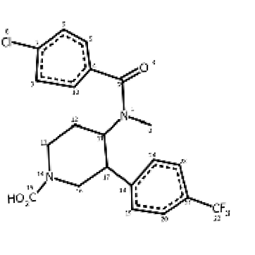 CN(C(=O)c1ccc(Cl)cc1)C1CCN(C(=O)O)CC1c1ccc(C(F)(F)F)cc1